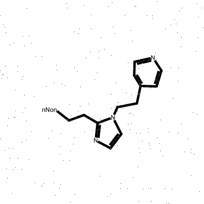 CCCCCCCCCCCc1nccn1CCc1ccncc1